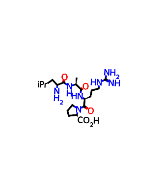 CC(C)C[C@H](N)C(=O)N[C@@H](C)C(=O)N[C@@H](CCCNC(=N)N)C(=O)N1CCC[C@H]1C(=O)O